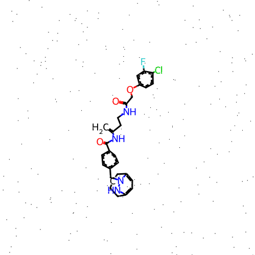 C=C(CCNC(=O)COc1ccc(Cl)c(F)c1)NC(=O)c1ccc(CN2NC3=CC=C2CCCC3)cc1